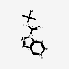 CC(C)(C)OC(=O)n1ncc2cnccc21